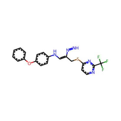 N=N/C(=C\Nc1ccc(Oc2ccccc2)cc1)CSc1ccnc(C(F)(F)F)n1